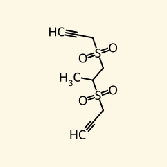 C#CCS(=O)(=O)CC(C)S(=O)(=O)CC#C